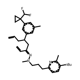 C=CCC(C/C(C=C)=N/N(C)CCCc1ccc(CCCC)c(C)n1)c1cc(C)cc(C2(C(F)F)CC2)c1